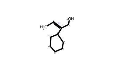 C/C=C(/CO)C1CCCCC1